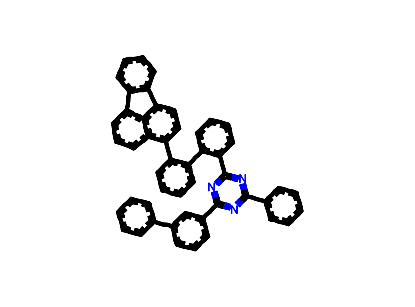 c1ccc(-c2cccc(-c3nc(-c4ccccc4)nc(-c4ccccc4-c4ccccc4-c4ccc5c6c(cccc46)-c4ccccc4-5)n3)c2)cc1